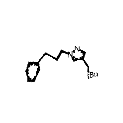 CC(C)(C)Cc1cnn(CCCc2ccccc2)c1